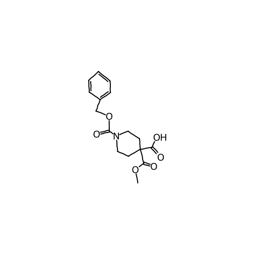 COC(=O)C1(C(=O)O)CCN(C(=O)OCc2ccccc2)CC1